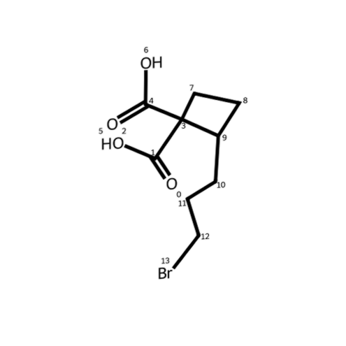 O=C(O)C1(C(=O)O)CCC1CCCBr